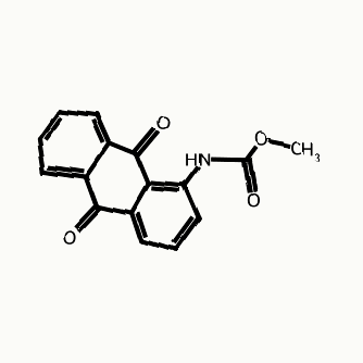 COC(=O)Nc1cccc2c1C(=O)c1ccccc1C2=O